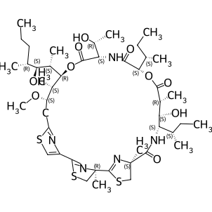 CCC[C@@H](C)[C@H](O)[C@H](C)[C@H]1OC(=O)[C@H]([C@@H](C)O)NC(=O)[C@H]([C@@H](C)CC)OC(=O)[C@H](C)[C@H](O)[C@H]([C@@H](C)CC)NC(=O)[C@@]2(C)CSC(=N2)[C@@]2(C)CSC(=N2)c2csc(n2)C[C@H](OC)[C@@H]1C